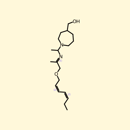 CC/C=C\C=C/COC/C(C)=N/C(C)N1CCCC(CO)CC1